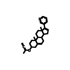 C=C=C(C)OC1CCC2(C)C(=CCC3C2CCC2(C)C(c4cccnc4)=CCC32)C1